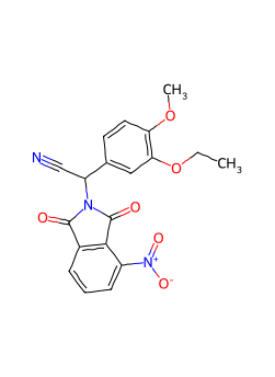 CCOc1cc(C(C#N)N2C(=O)c3cccc([N+](=O)[O-])c3C2=O)ccc1OC